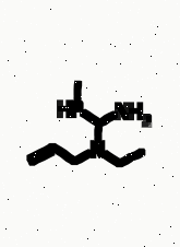 C=CCN(CC)C(N)PC